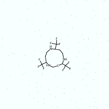 FC(F)(F)C1CCNC(C(F)(F)F)CCNC(C(F)(F)F)CCN1